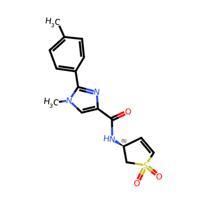 Cc1ccc(-c2nc(C(=O)N[C@H]3C=CS(=O)(=O)C3)cn2C)cc1